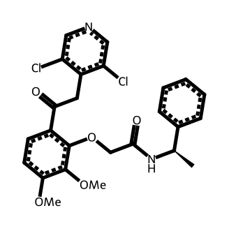 COc1ccc(C(=O)Cc2c(Cl)cncc2Cl)c(OCC(=O)N[C@H](C)c2ccccc2)c1OC